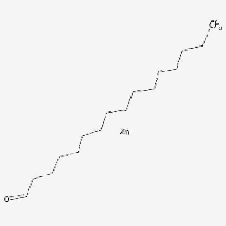 CCCCCCCCCCCCCCCC=O.[Zn]